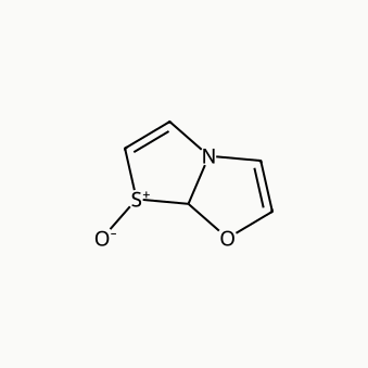 [O-][S+]1C=CN2C=COC21